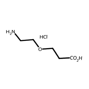 Cl.NCCOCCC(=O)O